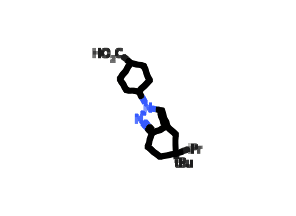 CC(C)C1(C(C)(C)C)CCc2nn(C3CCC(C(=O)O)CC3)cc2C1